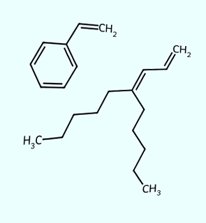 C=CC=C(CCCCC)CCCCC.C=Cc1ccccc1